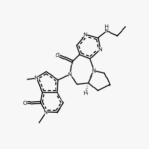 CCNc1ncc2c(n1)N1CCC[C@H]1CN(c1cn(C)c3c(=O)n(C)ccc13)C2=O